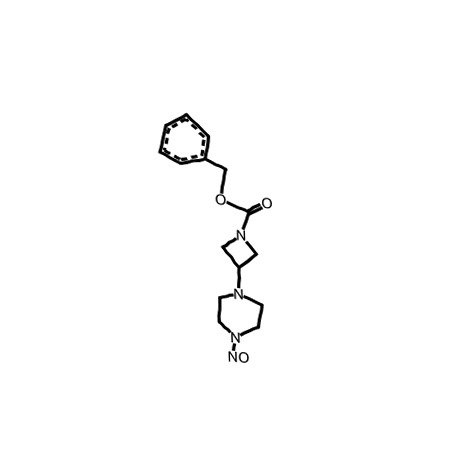 O=NN1CCN(C2CN(C(=O)OCc3ccccc3)C2)CC1